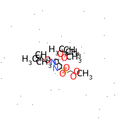 COC(=O)CCS(=O)(=O)c1cnc2c(c1)c(B1OC(C)(C)C(C)(C)O1)cn2COCC[Si](C)(C)C